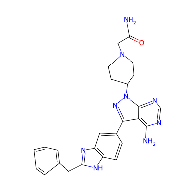 NC(=O)CN1CCC(n2nc(-c3ccc4[nH]c(Cc5ccccc5)nc4c3)c3c(N)ncnc32)CC1